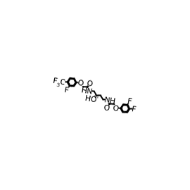 O=C(COc1ccc(F)c(F)c1)NCC[C@H](O)CNC(=O)COc1ccc(C(F)(F)F)c(F)c1